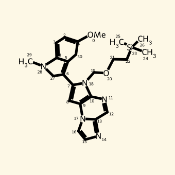 COC1=CC=C2C(=C(c3cc4c(ncc5nccn54)n3COCC[Si](C)(C)C)CN2C)C1